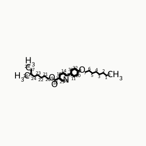 CCCCCCCCOc1ccc(-c2ccc(C(=O)OCCCCCC(C)CC)cn2)cc1